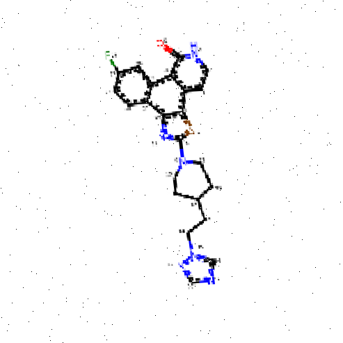 O=c1[nH]ccc2c3sc(N4CCC(CCn5cncn5)CC4)nc3c3ccc(F)cc3c12